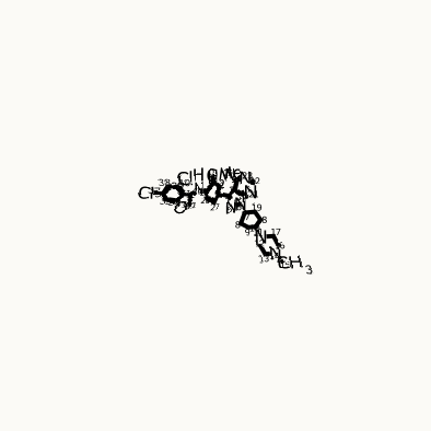 COc1cc(-c2nn(C3CCC(N4CCN(C)CC4)CC3)c3ncnc(N)c23)ccc1NC1COc2cc(Cl)cc(Cl)c21